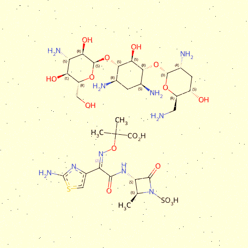 C[C@H]1[C@H](NC(=O)/C(=N\OC(C)(C)C(=O)O)c2csc(N)n2)C(=O)N1S(=O)(=O)O.NC[C@H]1O[C@H](O[C@H]2[C@H](O)[C@@H](O[C@H]3O[C@H](CO)[C@@H](O)[C@H](N)[C@H]3O)[C@H](N)C[C@@H]2N)[C@H](N)C[C@@H]1O